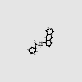 O=C(NNc1cccc2cc3ccccc3cc12)c1ccccc1